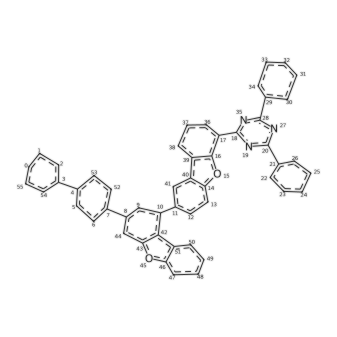 c1ccc(-c2ccc(-c3cc(-c4ccc5oc6c(-c7nc(-c8ccccc8)nc(-c8ccccc8)n7)cccc6c5c4)c4c(c3)oc3ccccc34)cc2)cc1